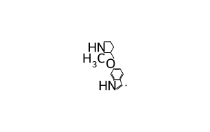 CC1NCCCC1COc1ccc2[c]c[nH]c2c1